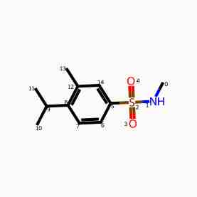 CNS(=O)(=O)c1ccc(C(C)C)c(C)c1